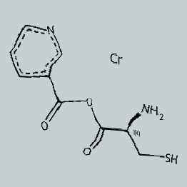 N[C@@H](CS)C(=O)OC(=O)c1cccnc1.[Cr]